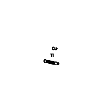 [Cu].[O]=[Co].[Ti]